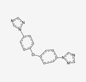 c1ncn(-c2ccc(Oc3ccc(-n4cncn4)cc3)cc2)n1